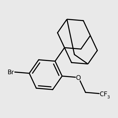 FC(F)(F)COc1ccc(Br)cc1C12CC3CC(CC(C3)C1)C2